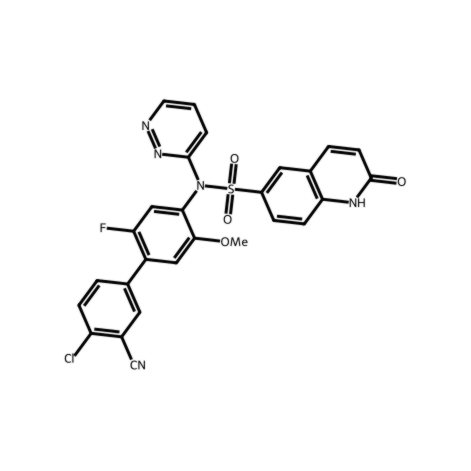 COc1cc(-c2ccc(Cl)c(C#N)c2)c(F)cc1N(c1cccnn1)S(=O)(=O)c1ccc2[nH]c(=O)ccc2c1